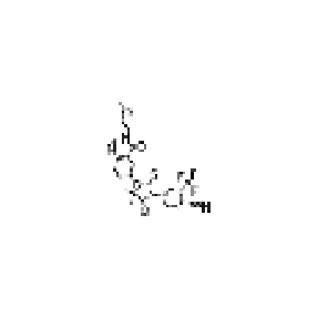 COCCn1cnc2ccc(N3C(=S)N(c4ccc(C#N)c(C(F)(F)F)c4)C(=O)C3(C)C)cc2c1=O